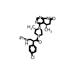 CC(C)NCC(C(=O)N1CCN(c2ncnc3c2[C@H](C)CC(=O)N3)[C@H](C)C1)c1ccc(Cl)cc1